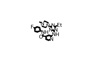 CCc1nc(Nc2cc(C(=O)Nc3ccc(F)cc3)ccn2)nc(N2CCN(C)CC2)n1